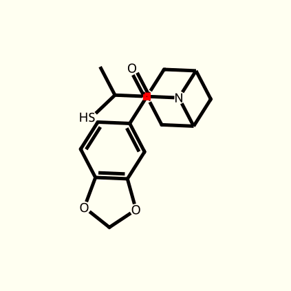 CC(S)N1CC2CC(C1)N2C(=O)c1ccc2c(c1)OCO2